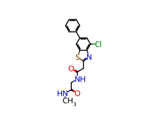 CNC(=O)CNC(=O)Cc1nc2c(Cl)cc(-c3ccccc3)cc2s1